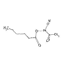 CCCCCC(=O)ON(C#N)C(C)=O